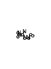 N#Cc1cc(C2=CCCC(c3cccc(C4=CCCC5=C4CCC=C5)n3)=N2)cc(-n2c3c(c4ccccc42)CCC=N3)c1